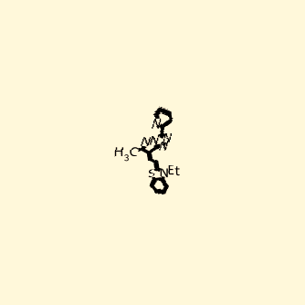 CCN1/C(=C/C=c2/c(C)nn3c(-c4ccccn4)nnc23)Sc2ccccc21